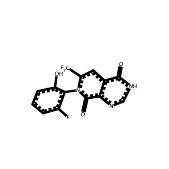 O=c1[nH]cnc2c(=O)n(-c3c(O)cccc3F)c(C(F)(F)F)cc12